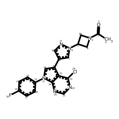 CC(=O)N1CC(n2cc(-c3cn(-c4ccc(F)cc4)c4ncnc(Cl)c34)cn2)C1